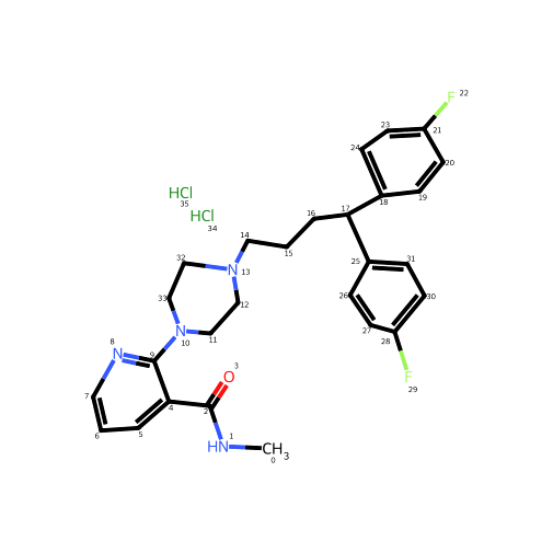 CNC(=O)c1cccnc1N1CCN(CCCC(c2ccc(F)cc2)c2ccc(F)cc2)CC1.Cl.Cl